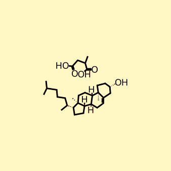 CC(C)CCCC(C)[C@H]1CC[C@H]2[C@@H]3CC=C4C[C@@H](O)CC[C@]4(C)[C@H]3CC[C@]12C.CC(CC(=O)O)C(=O)O